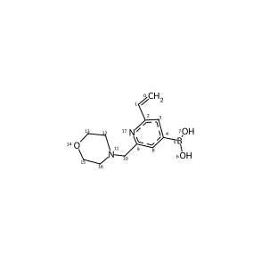 C=Cc1cc(B(O)O)cc(CN2CCOCC2)n1